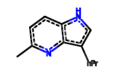 CCCc1c[nH]c2ccc(C)nc12